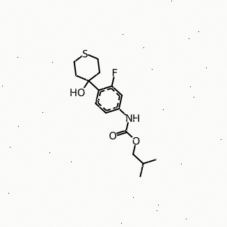 CC(C)COC(=O)Nc1ccc(C2(O)CCSCC2)c(F)c1